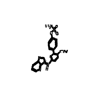 N#Cc1ccc(Nn2cnc3cccnc32)nc1-c1ccc(OS(N)(=O)=O)cc1